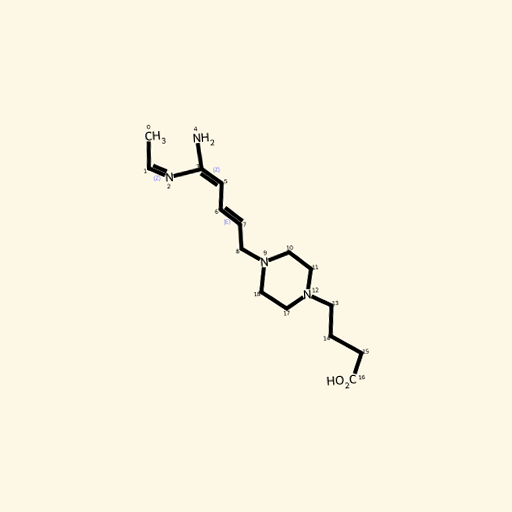 C\C=N/C(N)=C\C=C\CN1CCN(CCCC(=O)O)CC1